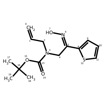 C=CCN(CC(=NO)c1cccs1)C(=O)OC(C)(C)C